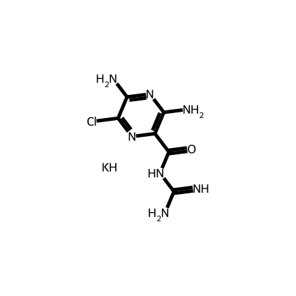 N=C(N)NC(=O)c1nc(Cl)c(N)nc1N.[KH]